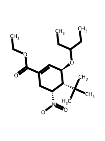 CCOC(=O)C1=C[C@@H](OC(CC)CC)[C@H](C(C)(C)C)[C@H]([N+](=O)[O-])C1